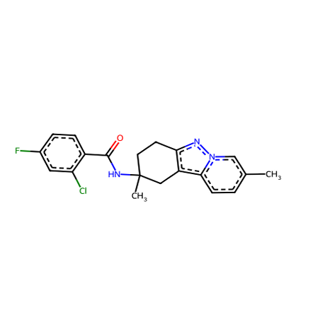 Cc1ccc2c3c(nn2c1)CCC(C)(NC(=O)c1ccc(F)cc1Cl)C3